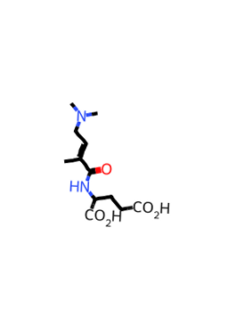 C/C(=C\CN(C)C)C(=O)NC(CCC(=O)O)C(=O)O